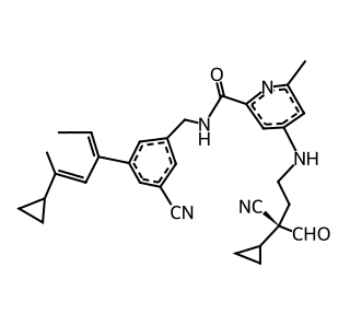 C/C=C(\C=C(/C)C1CC1)c1cc(C#N)cc(CNC(=O)c2cc(NCC[C@](C#N)(C=O)C3CC3)cc(C)n2)c1